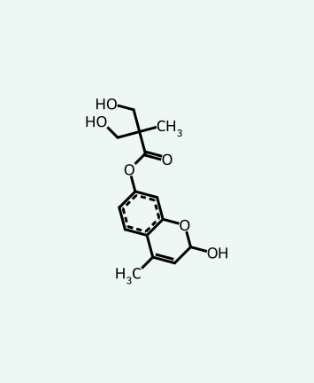 CC1=CC(O)Oc2cc(OC(=O)C(C)(CO)CO)ccc21